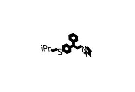 CC(C)CCSc1ccc(C(CCn2ccnc2)c2ccccc2)cc1